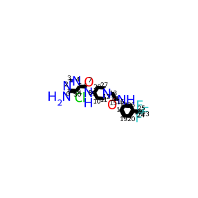 Nc1ncnc(C(=O)NC2CCN(CC(=O)Nc3cccc(C(F)(F)F)c3)CC2)c1Cl